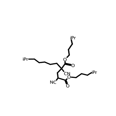 CC(C)CCCCCC(C#N)(CC(C#N)C(=O)OCCCC(C)C)C(=O)OCCCC(C)C